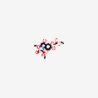 CCOC(=O)COc1cc2c(=O)cc(OCC)n(C(=C=O)C(=O)OCC)c2ccc1=O